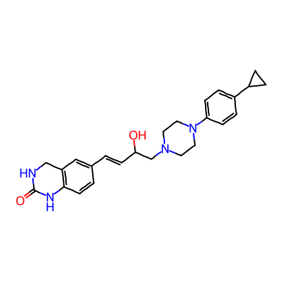 O=C1NCc2cc(/C=C/C(O)CN3CCN(c4ccc(C5CC5)cc4)CC3)ccc2N1